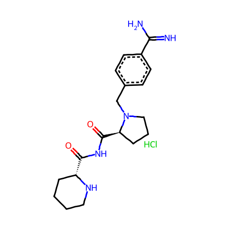 Cl.N=C(N)c1ccc(CN2CCC[C@H]2C(=O)NC(=O)[C@H]2CCCCN2)cc1